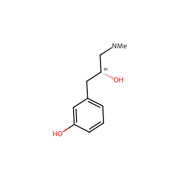 CNC[C@H](O)Cc1cccc(O)c1